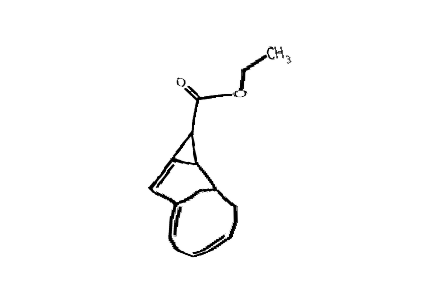 CCOC(=O)C1C2=CC3=CC=CCC3C21